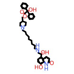 O=C(OCC1CCN(CCCCCCCCCNC[C@H](O)c2ccc(O)c3[nH]c(=O)ccc23)CC1)C(O)(c1ccccc1)c1ccccc1